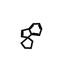 C1=CC2(CCCC2)c2ccccc21